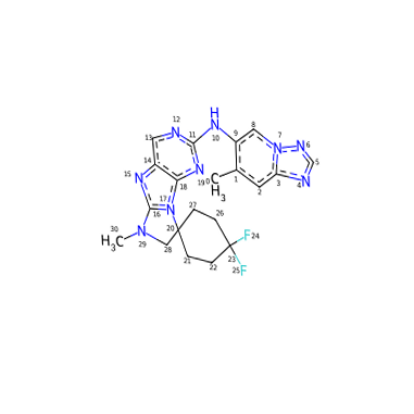 Cc1cc2ncnn2cc1Nc1ncc2nc3n(c2n1)C1(CCC(F)(F)CC1)CN3C